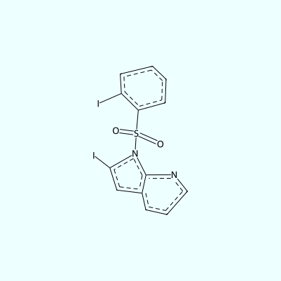 O=S(=O)(c1ccccc1I)n1c(I)cc2cccnc21